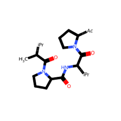 CC(=O)C1CCCN1C(=O)C(NC(=O)C1CCCN1C(=O)C(C)C(C)C)C(C)C